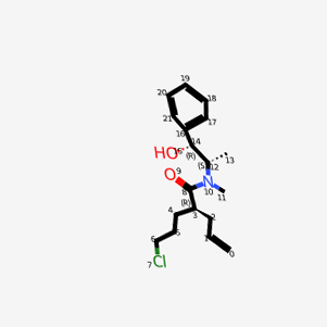 C=CC[C@@H](CCCCl)C(=O)N(C)[C@@H](C)[C@H](O)c1ccccc1